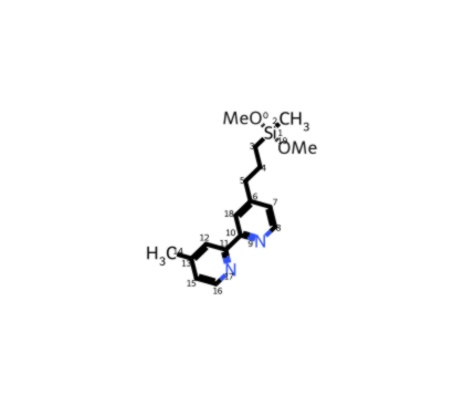 CO[Si](C)(CCCc1ccnc(-c2cc(C)ccn2)c1)OC